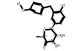 CCOc1ccc(Cc2cc([C@@H]3O[C@H](C)C(=O)[C@H](O)[C@H]3O)ccc2Cl)cc1